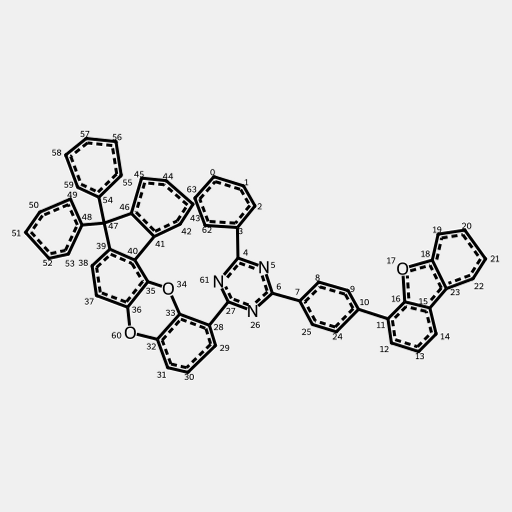 c1ccc(-c2nc(-c3ccc(-c4cccc5c4oc4ccccc45)cc3)nc(-c3cccc4c3Oc3c(ccc5c3-c3ccccc3C5(c3ccccc3)c3ccccc3)O4)n2)cc1